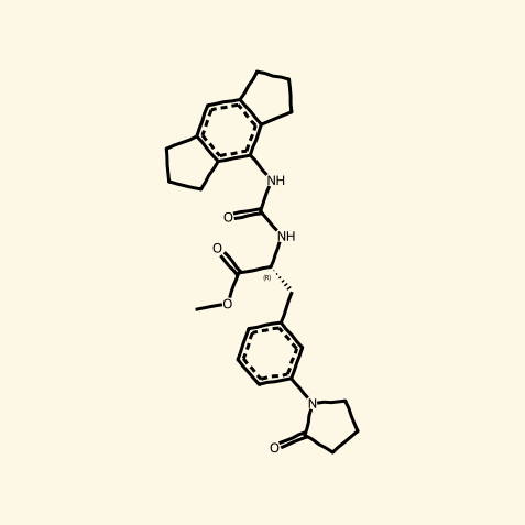 COC(=O)[C@@H](Cc1cccc(N2CCCC2=O)c1)NC(=O)Nc1c2c(cc3c1CCC3)CCC2